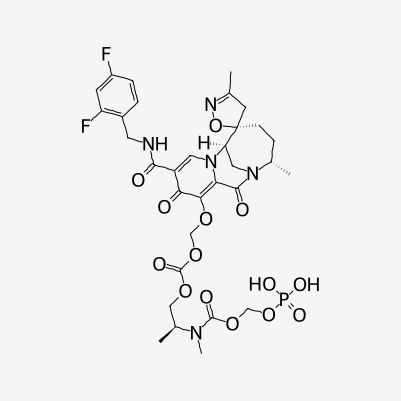 CC1=NO[C@@]2(CC[C@H](C)N3C[C@H]2n2cc(C(=O)NCc4ccc(F)cc4F)c(=O)c(OCOC(=O)OC[C@H](C)N(C)C(=O)OCOP(=O)(O)O)c2C3=O)C1